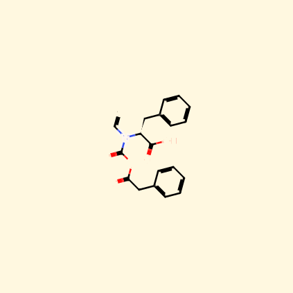 C=CN(C(=O)OC(=O)Cc1ccccc1)[C@@H](Cc1ccccc1)C(=O)O